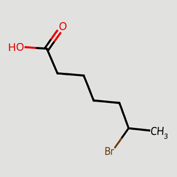 CC(Br)CCCCC(=O)O